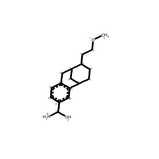 COCCC1CCC2CC1Cc1ccc(C(N)O)cc12